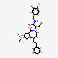 CC(C)C[C@H](C(=O)NCc1ccc(Cl)c(Cl)c1)N1CCC(CCc2ccccc2)N2C[C@H](N(C)C)CC2C1=O